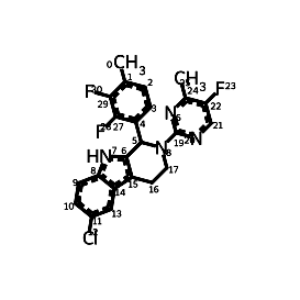 Cc1ccc(C2c3[nH]c4ccc(Cl)cc4c3CCN2c2ncc(F)c(C)n2)c(F)c1F